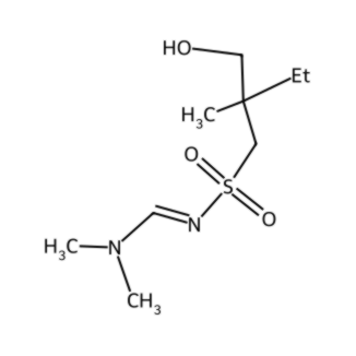 CCC(C)(CO)CS(=O)(=O)N=CN(C)C